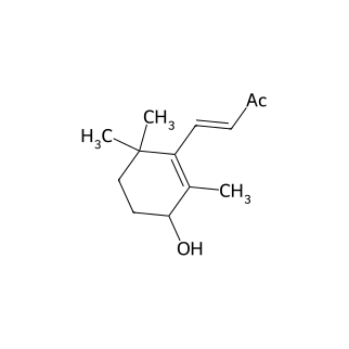 CC(=O)C=CC1=C(C)C(O)CCC1(C)C